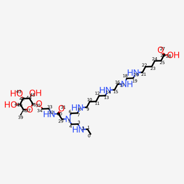 CCNCCN(CCNCCCCCNCCNCCNCCCCCC(=O)O)CC(=O)NCCO[C@@H]1O[C@@H](C)[C@@H](O)[C@@H](O)[C@@H]1O